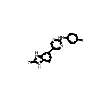 O=c1[nH]c2ccc(-c3cnc(Nc4ccc(F)cc4)nc3)cc2[nH]1